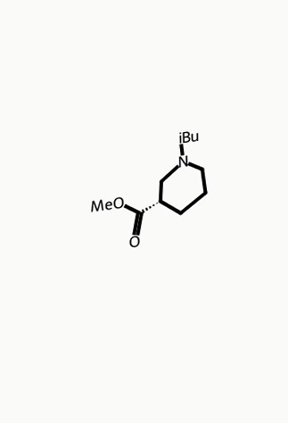 CCC(C)N1CCC[C@H](C(=O)OC)C1